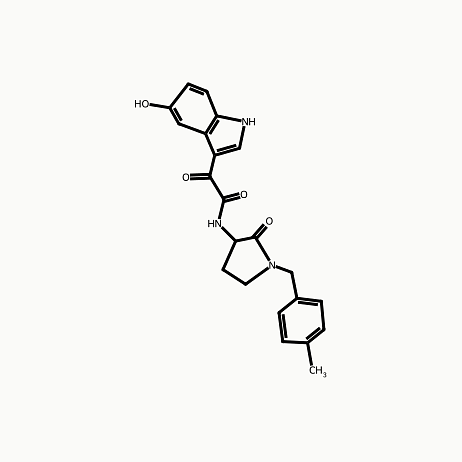 Cc1ccc(CN2CCC(NC(=O)C(=O)c3c[nH]c4ccc(O)cc34)C2=O)cc1